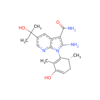 CC1=C(n2c(N)c(C(N)=O)c3cc(C(C)(C)O)cnc32)[C@H](C)CC=C1O